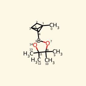 CC12CC(C1)C2B1OC(C)(C)C(C)(C)O1